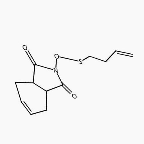 C=CCCSON1C(=O)C2CC=CCC2C1=O